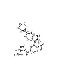 FC(F)(F)c1cnc(NC2COC23CNC3)nc1-c1c[nH]c2nc(N3CCOCC3)ccc12